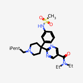 CCCC(C)CN1CCC(c2cccc(NS(C)(=O)=O)c2)(c2ncc(C(=O)N(CC)CC)cn2)CC1